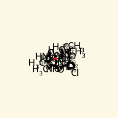 CNC(=O)C(=O)C(C[C@@H]1C[C@@H](C)NC1=O)NC(=O)c1cc(Cl)ccc1NC(=O)C(N(C)C(=O)OC)C(C)(C)C